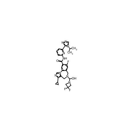 CC(C)n1cnnc1-c1cccc(NC(=O)c2cc3c(cc2F)CN(C(O)N2CC(F)(F)C2)Cc2c(C4CC4)ncn2-3)n1